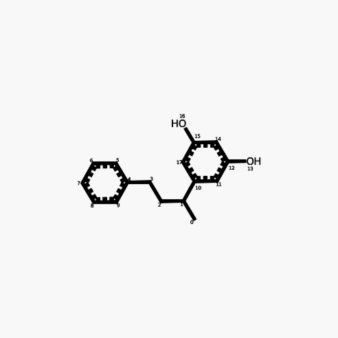 CC(CCc1ccccc1)c1cc(O)cc(O)c1